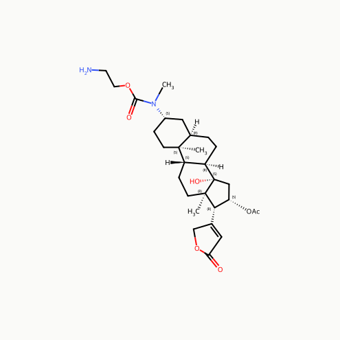 CC(=O)O[C@H]1C[C@]2(O)[C@@H]3CC[C@@H]4C[C@@H](N(C)C(=O)OCCN)CC[C@]4(C)[C@H]3CC[C@]2(C)[C@H]1C1=CC(=O)OC1